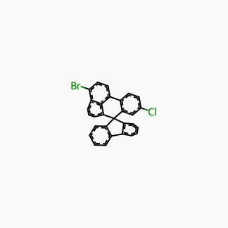 Clc1ccc2c(c1)C1(c3ccccc3-c3ccccc31)c1cccc3c(Br)ccc-2c13